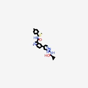 CS[C@H](NC(=O)c1cn(C)c2ccc(-c3ccn4nc(NC(O)C5CC5)nc4c3)cc12)c1ccc(C)cc1